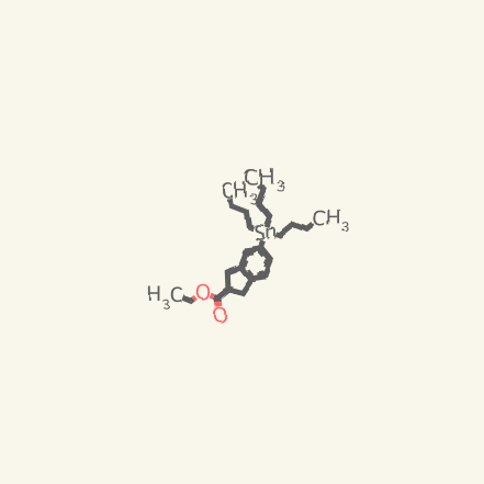 CCC[CH2][Sn]([CH2]CCC)([CH2]CCC)[c]1ccc2c(c1)CC(C(=O)OCC)C2